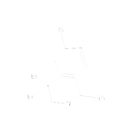 CCC1(CC)CN=C(C(C)C)c2ccc(Br)cc21